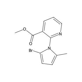 COC(=O)c1cccnc1-n1c(C)ccc1Br